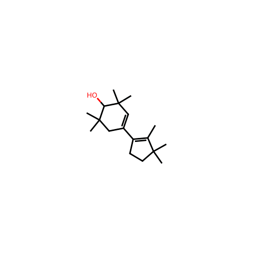 CC1=C(C2=CC(C)(C)C(O)C(C)(C)C2)CCC1(C)C